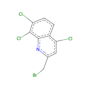 Clc1ccc2c(Cl)cc(CBr)nc2c1Cl